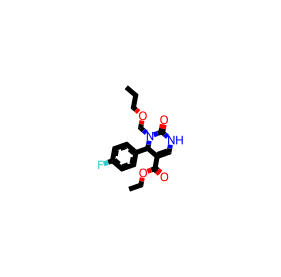 CCCOCN1C(=O)NC=C(C(=O)OCC)C1c1ccc(F)cc1